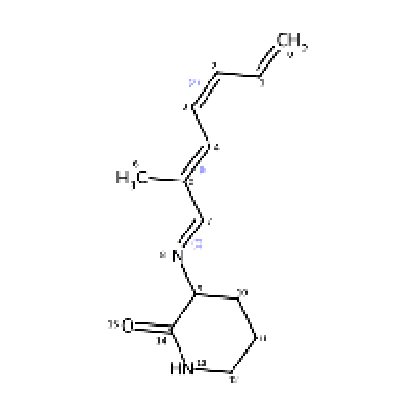 C=C\C=C/C=C(C)/C=N/C1CCCNC1=O